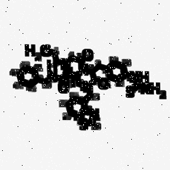 C=CCN1CC(=O)N2[C@@H](Cc3ccc(NC(N)=S)cc3)C(=O)N(Cc3cccc4scnc34)C[C@@H]2N1C(=O)NCc1ccccc1